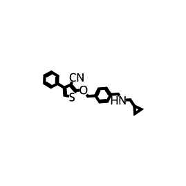 N#Cc1c(-c2ccccc2)csc1OCc1ccc(CNCC2CC2)cc1